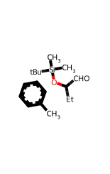 CCC(C=O)O[Si](C)(C)C(C)(C)C.Cc1ccccc1